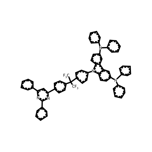 FC(F)(F)C(c1ccc(-c2cc(-c3ccccc3)nc(-c3ccccc3)n2)cc1)(c1ccc(-n2c3ccc(N(c4ccccc4)c4ccccc4)cc3c3cc(N(c4ccccc4)c4ccccc4)ccc32)cc1)C(F)(F)F